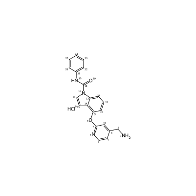 Cl.NCc1ccnc(Oc2cccc3c2ccn3C(=O)Nc2ccccc2)c1